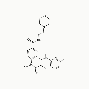 CCC1C(C)C(Nc2cccc(C)n2)c2cc(C(=O)NCCN3CCOCC3)ccc2N1C(C)=O